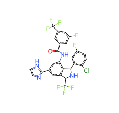 O=C(Nc1cc(-c2ncc[nH]2)cc2c1C(c1cc(F)ccc1Cl)NC2C(F)(F)F)c1cc(F)cc(C(F)(F)F)c1